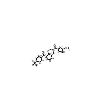 Nc1nc(C(=O)N2CCc3c(cccc3C(=O)c3ccc(C(F)(F)F)cc3)C2)c[nH]1